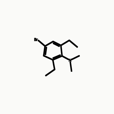 CCc1cc(Br)cc(CC)c1N(C)C